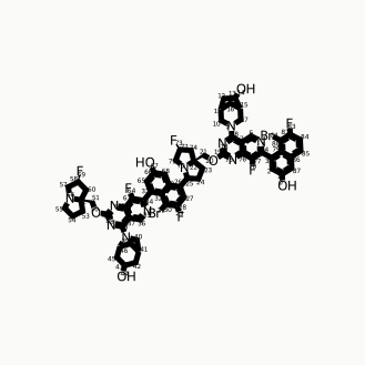 Oc1cc(-c2ncc3c(N4CC5CC(O)C(C5)C4)nc(OC[C@@]45CCC(c6cc(F)c(Br)c7c(-c8ncc9c(N%10CC%11CC(O)CC%10C%11)nc(OC[C@@]%10%11CCCN%10C[C@H](F)C%11)nc9c8F)cc(O)cc67)N4C[C@H](F)C5)nc3c2F)c2c(Br)c(F)ccc2c1